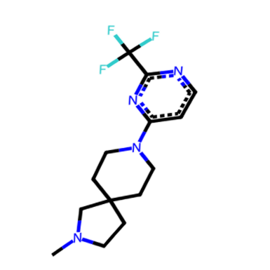 CN1CCC2(CCN(c3ccnc(C(F)(F)F)n3)CC2)C1